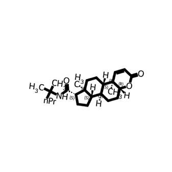 CCCC(C)(C)NC(=O)[C@H]1CC[C@H]2[C@@H]3CC[C@H]4OC(=O)C=C[C@]4(C)[C@H]3CC[C@]12C